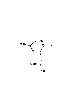 CC(C)(C)C(=O)Nc1cc([N+](=O)[O-])ccc1F